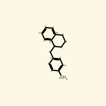 Cc1ccc(CC2CCCc3ccccc32)cc1